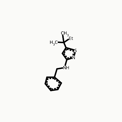 CCC(C)(C)c1cc(NCc2ccccc2)ns1